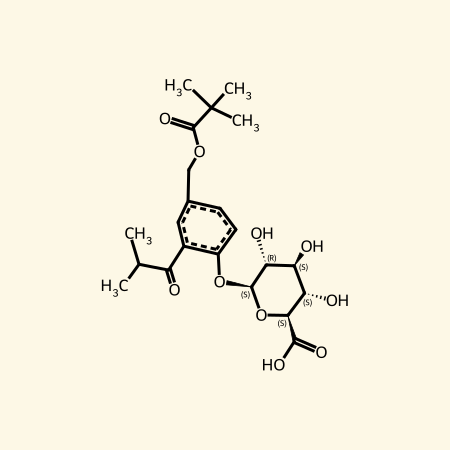 CC(C)C(=O)c1cc(COC(=O)C(C)(C)C)ccc1O[C@@H]1O[C@H](C(=O)O)[C@@H](O)[C@H](O)[C@H]1O